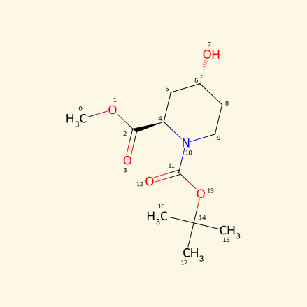 COC(=O)[C@H]1C[C@H](O)CCN1C(=O)OC(C)(C)C